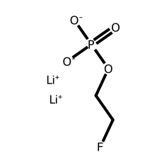 O=P([O-])([O-])OCCF.[Li+].[Li+]